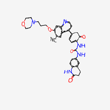 N#Cc1cc2c(C3=CC=C(NC(=O)Nc4ccc5c(c4)CCC(=O)N5)C(=O)C3)ccnc2cc1OCCCN1CCOCC1